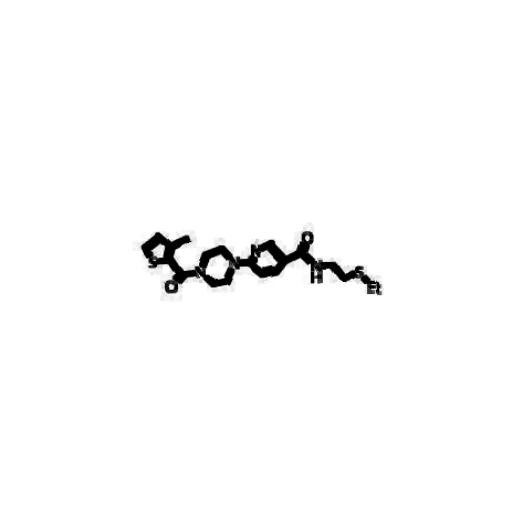 CCSCCNC(=O)c1ccc(N2CCN(C(=O)c3sccc3C)CC2)nc1